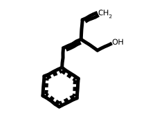 C=CC(=Cc1ccccc1)CO